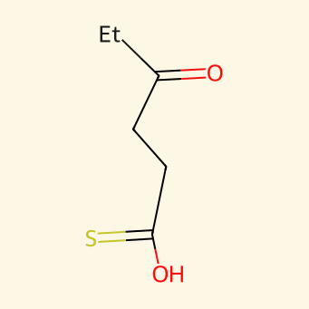 CCC(=O)CCC(O)=S